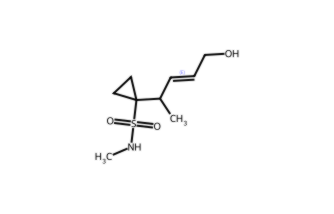 CNS(=O)(=O)C1(C(C)/C=C/CO)CC1